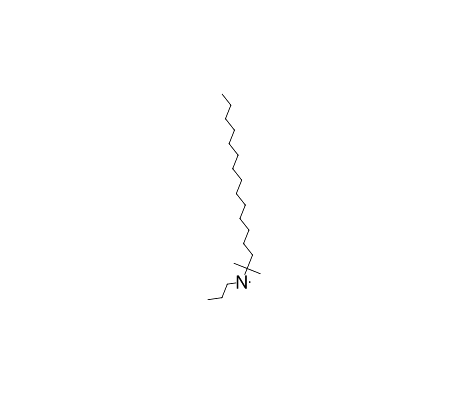 CCCCCCCCCCCCCCC(C)(C)[N]CCC